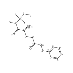 CCC(C)(C)C(C)C(=O)[C@@H](N)CCC(=O)OCc1ccccc1